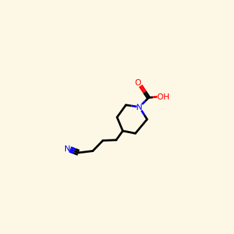 N#CCCCC1CCN(C(=O)O)CC1